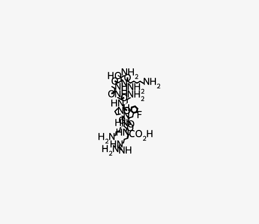 CC(NC(=O)[C@@H](NC(=O)[C@@H](N)CCCCN)[C@@H](O)CN)C(=O)NCC(=O)N[C@H](CCCN)C(=O)N1CCC[C@H]1C(=O)NC(Cc1ccccc1F)C(=O)N[C@@H](CCCCN)C(=O)N/C(=C\CCNC(=N)N)C(=O)O